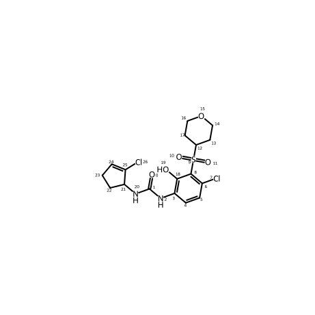 O=C(Nc1ccc(Cl)c(S(=O)(=O)C2CCOCC2)c1O)NC1CCC=C1Cl